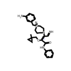 CC1(CO/C(C(=O)Nc2ccccc2)=C(/C=N)N2CCS(#N)(Cc3cccc(N)c3)CC2)CC1